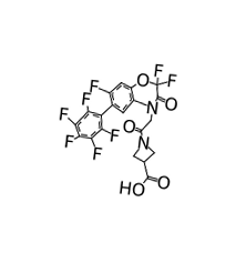 O=C(O)C1CN(C(=O)CN2C(=O)C(F)(F)Oc3cc(F)c(-c4c(F)c(F)c(F)c(F)c4F)cc32)C1